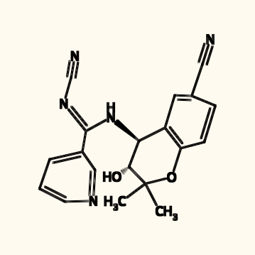 CC1(C)Oc2ccc(C#N)cc2[C@H](N/C(=N\C#N)c2cccnc2)[C@H]1O